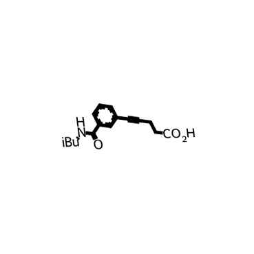 CCC(C)NC(=O)c1cccc(C#CCCC(=O)O)c1